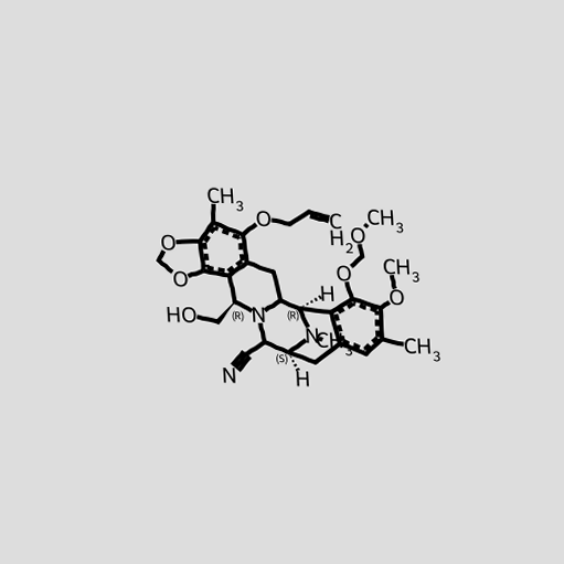 C=CCOc1c(C)c2c(c3c1CC1[C@H]4c5c(cc(C)c(OC)c5OCOC)C[C@@H](C(C#N)N1[C@H]3CO)N4C)OCO2